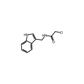 O=C(CCl)NCc1c[nH]c2ccccc12